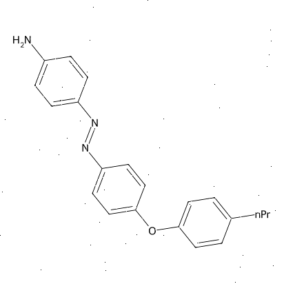 CCCc1ccc(Oc2ccc(N=Nc3ccc(N)cc3)cc2)cc1